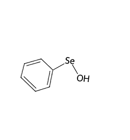 O[Se]c1ccccc1